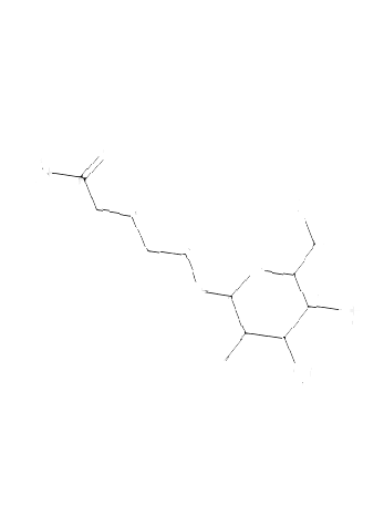 CC1C(OCCCCC(N)=O)OC(CO)C(O)C1O